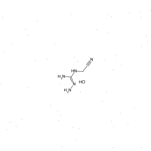 Cl.N#CCNC(N)=NN